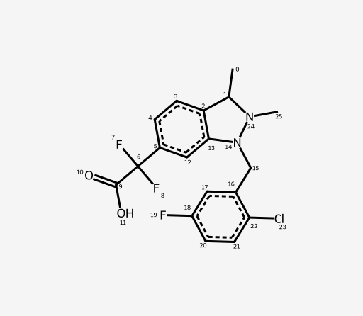 CC1c2ccc(C(F)(F)C(=O)O)cc2N(Cc2cc(F)ccc2Cl)N1C